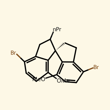 CCCC1Cc2c(Br)ccc(OC)c2[C@@]12CCc1c(Br)ccc(OC)c12